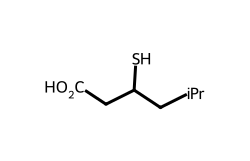 CC(C)CC(S)CC(=O)O